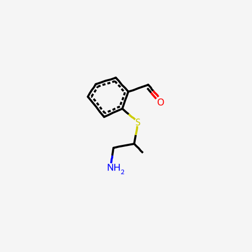 CC(CN)Sc1ccccc1C=O